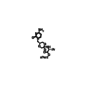 CCCCCOC(=O)C(NP1(=O)CO[C@@H](Cn2ccc(N)nc2=O)CO1)C(C)C